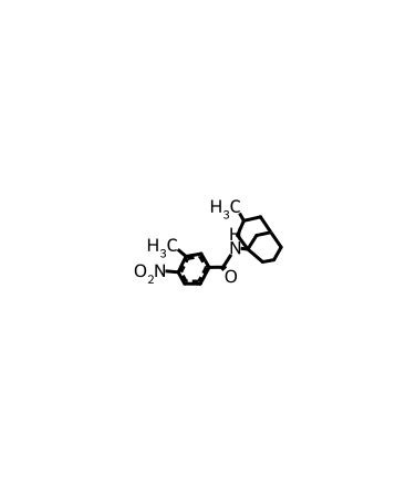 Cc1cc(C(=O)NC23CCCC(CC(C)C2)C3)ccc1[N+](=O)[O-]